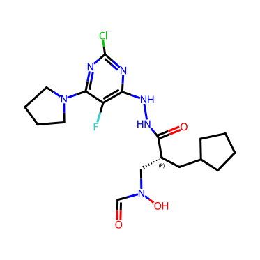 O=CN(O)C[C@@H](CC1CCCC1)C(=O)NNc1nc(Cl)nc(N2CCCC2)c1F